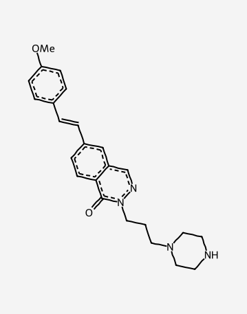 COc1ccc(/C=C/c2ccc3c(=O)n(CCCN4CCNCC4)ncc3c2)cc1